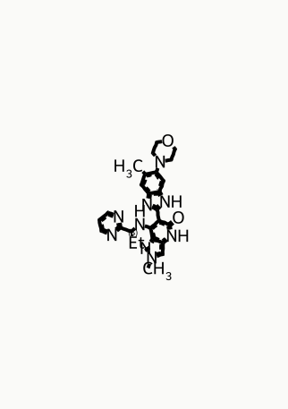 CC[C@H](Nc1c(-c2nc3cc(C)c(N4CCOCC4)cc3[nH]2)c(=O)[nH]c2cn(C)nc12)c1ncccn1